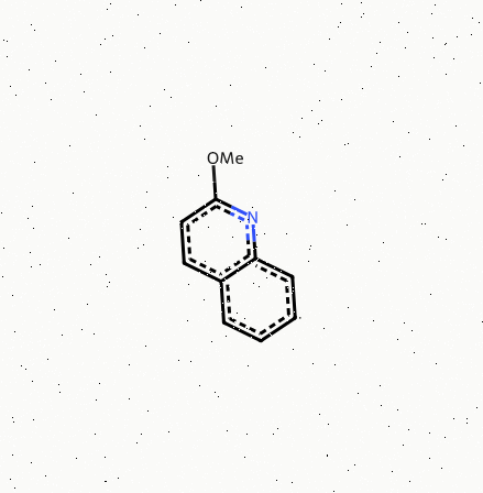 COc1ccc2cc[c]cc2n1